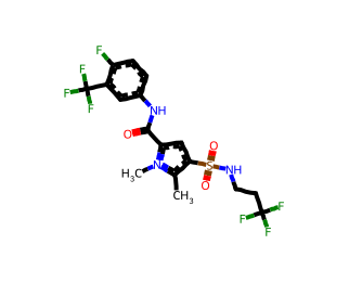 Cc1c(S(=O)(=O)NCCC(F)(F)F)cc(C(=O)Nc2ccc(F)c(C(F)(F)F)c2)n1C